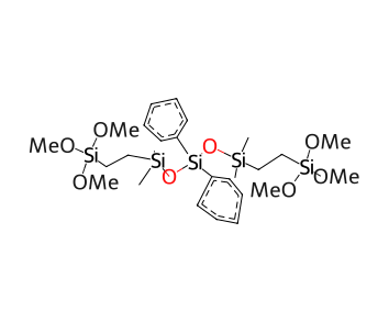 CO[Si](CC[Si](C)(C)O[Si](O[Si](C)(C)CC[Si](OC)(OC)OC)(c1ccccc1)c1ccccc1)(OC)OC